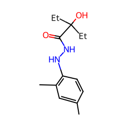 CCC(O)(CC)C(=O)NNc1ccc(C)cc1C